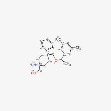 C[C@@H](OC[C@]1(c2ccccc2)CC[C@@](N)(CO)CC1)c1cc(C(F)(F)F)cc(C(F)(F)F)c1